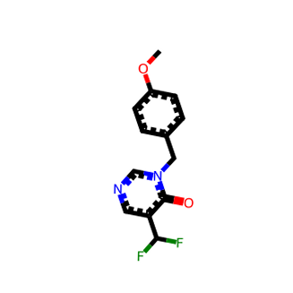 COc1ccc(Cn2cncc(C(F)F)c2=O)cc1